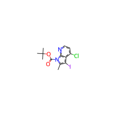 Cc1c(I)c2c(Cl)ccnc2n1C(=O)OC(C)(C)C